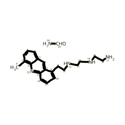 Cc1cccc2cc3c(CCNCCNCCN)cccc3nc12.NC=O